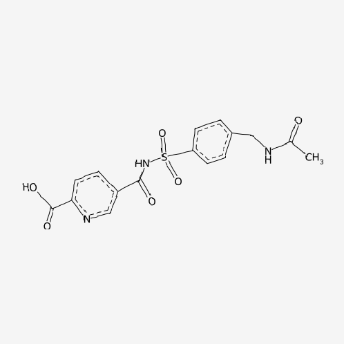 CC(=O)NCc1ccc(S(=O)(=O)NC(=O)c2ccc(C(=O)O)nc2)cc1